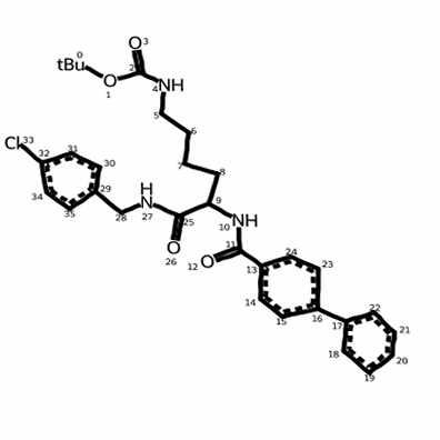 CC(C)(C)OC(=O)NCCCCC(NC(=O)c1ccc(-c2ccccc2)cc1)C(=O)NCc1ccc(Cl)cc1